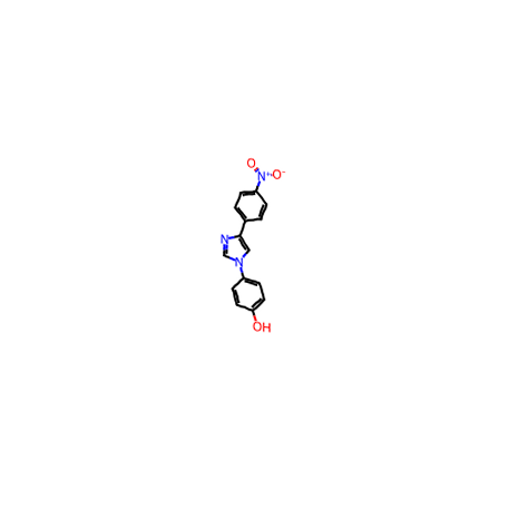 O=[N+]([O-])c1ccc(-c2cn(-c3ccc(O)cc3)cn2)cc1